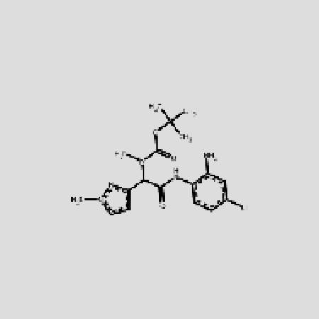 Cn1ccc(C(C(=O)Nc2ccc(Cl)cc2N)N(N)C(=O)OC(C)(C)C)n1